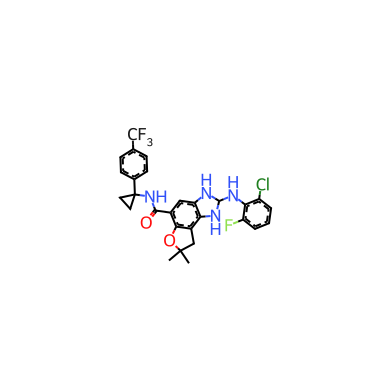 CC1(C)Cc2c3c(cc(C(=O)NC4(c5ccc(C(F)(F)F)cc5)CC4)c2O1)NC(Nc1c(F)cccc1Cl)N3